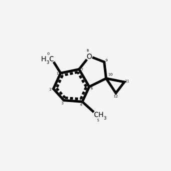 Cc1ccc(C)c2c1OCC21CC1